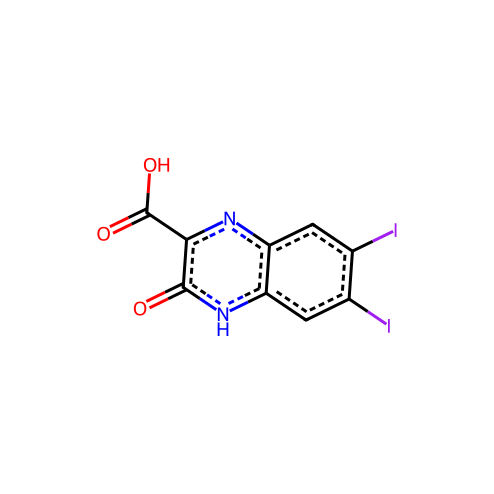 O=C(O)c1nc2cc(I)c(I)cc2[nH]c1=O